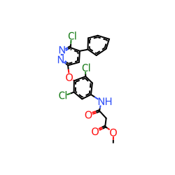 COC(=O)CC(=O)Nc1cc(Cl)c(Oc2cc(-c3ccccc3)c(Cl)nn2)c(Cl)c1